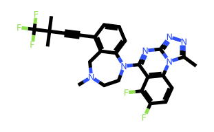 Cc1nnc2nc(N3CCN(C)Cc4c(C#CC(C)(C)C(F)(F)F)cccc43)c3c(F)c(F)ccc3n12